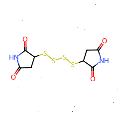 O=C1CC(SSSSC2CC(=O)NC2=O)C(=O)N1